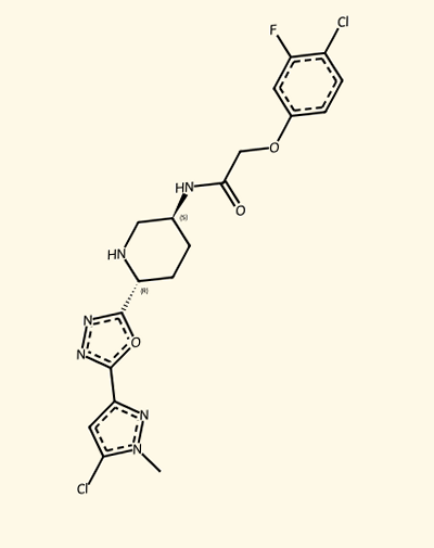 Cn1nc(-c2nnc([C@H]3CC[C@H](NC(=O)COc4ccc(Cl)c(F)c4)CN3)o2)cc1Cl